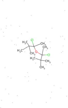 CC(C)(C)C(C)(Cl)OC(C)(Cl)C(C)(C)C